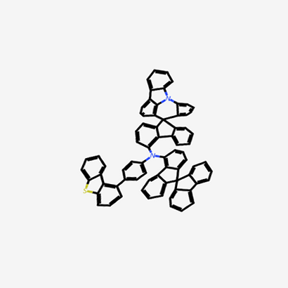 c1ccc2c(c1)-c1ccccc1C21c2ccccc2-c2c(N(c3ccc(-c4cccc5sc6ccccc6c45)cc3)c3cccc4c3-c3ccccc3C43c4ccccc4-n4c5ccccc5c5cccc3c54)cccc21